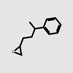 CC(CCC1CO1)c1ccccc1